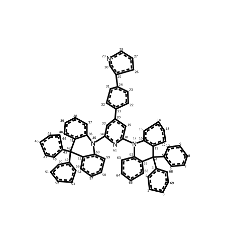 c1ccc(C2(c3ccccc3)c3ccccc3N(c3cc(-c4ccc(-c5cccnc5)cc4)cc(N4c5ccccc5C(c5ccccc5)(c5ccccc5)c5ccccc54)n3)c3ccccc32)cc1